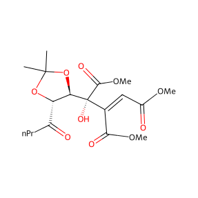 CCCC(=O)[C@@H]1OC(C)(C)O[C@H]1[C@@](O)(C(=O)OC)/C(=C/C(=O)OC)C(=O)OC